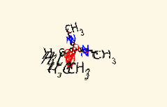 CCCCc1cnc(-c2ccc(C(OC(c3ccc(C(=O)OCC(C)CC)cc3)c3ccc(-c4ncc(CCCC)cn4)cc3)c3ccc(C(=O)OCC(C)CC)cc3)cc2)nc1